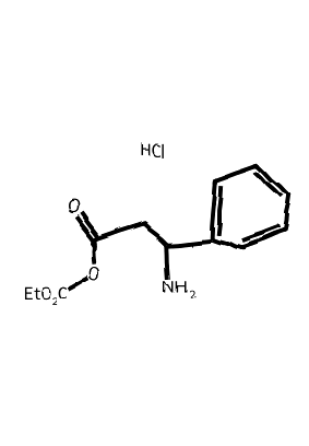 CCOC(=O)OC(=O)CC(N)c1ccccc1.Cl